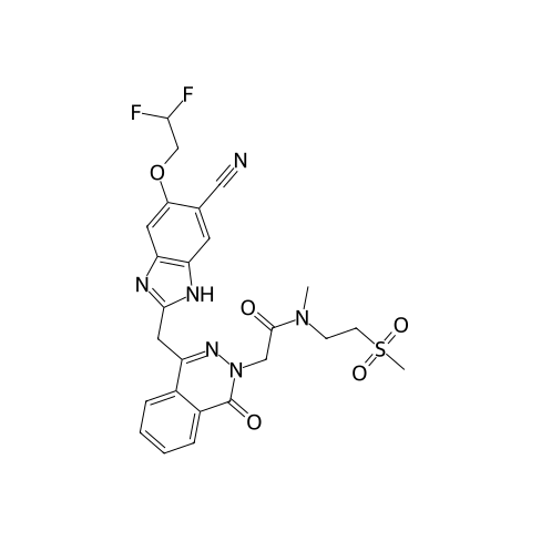 CN(CCS(C)(=O)=O)C(=O)Cn1nc(Cc2nc3cc(OCC(F)F)c(C#N)cc3[nH]2)c2ccccc2c1=O